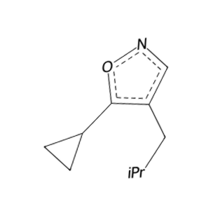 CC(C)Cc1cnoc1C1CC1